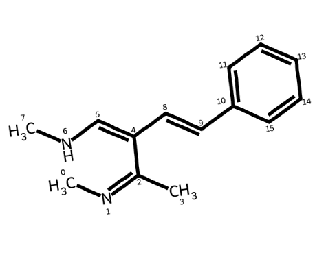 C\N=C(C)/C(=C\NC)/C=C/c1ccccc1